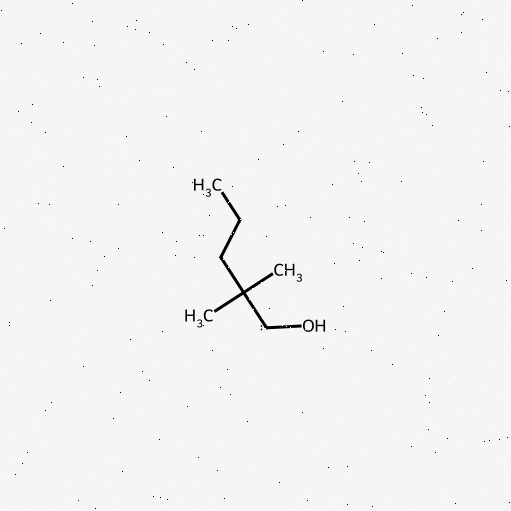 CCCC(C)(C)[C]O